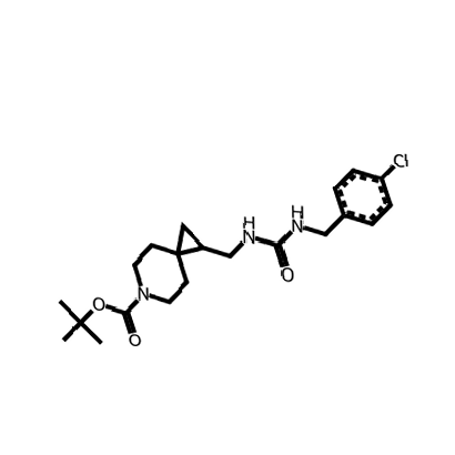 CC(C)(C)OC(=O)N1CCC2(CC1)CC2CNC(=O)NCc1ccc(Cl)cc1